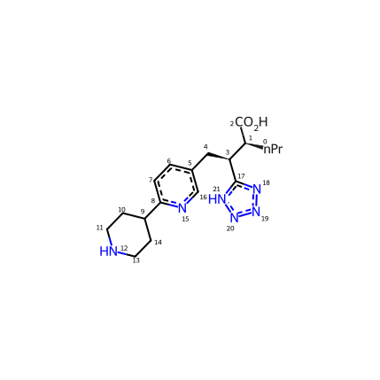 CCC[C@H](C(=O)O)[C@H](Cc1ccc(C2CCNCC2)nc1)c1nnn[nH]1